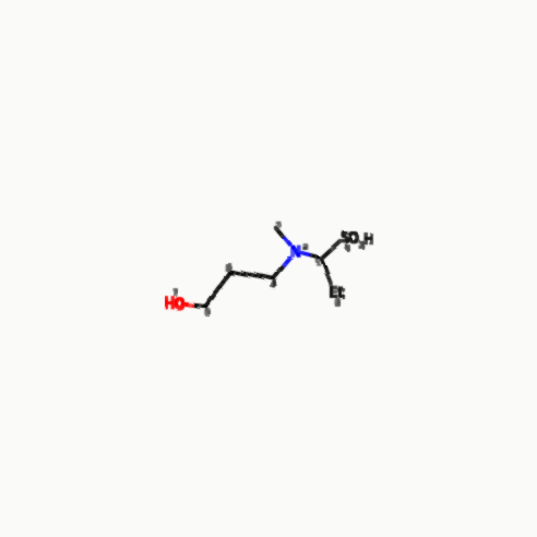 CCC(N(C)CCCO)S(=O)(=O)O